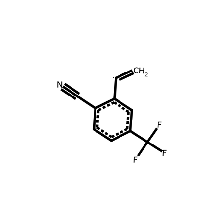 C=[C]c1cc(C(F)(F)F)ccc1C#N